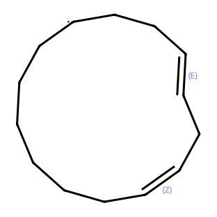 [CH]1CC/C=C/C/C=C\CCCCCC1